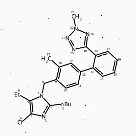 CCCCc1nc(Cl)c(CC)n1Cc1ccc(-c2ccccc2-c2nnn(C)n2)cc1C